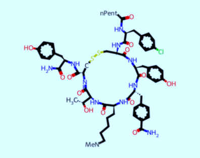 CCCCCC(=O)N[C@@H](Cc1ccc(Cl)cc1)C(=O)N[C@@H]1CSSC[C@@H](C(=O)N[C@H](Cc2ccc(O)cc2)C(N)=O)NC(=O)[C@H]([C@@H](C)O)NC(=O)[C@H](CCCCCNC)NC(=O)[C@@H](Cc2ccc(C(N)=O)cc2)NC(=O)[C@H](Cc2ccc(O)cc2)NC1=O